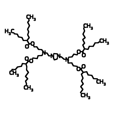 CCCCCCCCC(CCCCCC)C(=O)OCCCCN(CCCCOC(=O)C(CCCCCC)CCCCCCCC)CCN1CCN(CCN(CCCCOC(=O)C(CCCCCC)CCCCCCCC)CCCCOC(=O)C(CCCCCC)CCCCCCCC)CC1